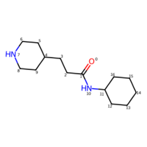 O=C(CCC1CCNCC1)NC1CCCCC1